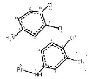 CC(C)Nc1ccc(Cl)c(Cl)c1.Nc1ccc(Cl)c(Cl)c1